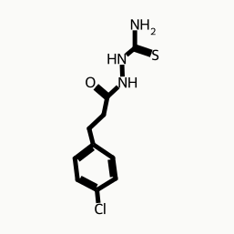 NC(=S)NNC(=O)CCc1ccc(Cl)cc1